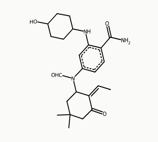 C/C=C1\C(=O)CC(C)(C)CC1N(C=O)c1ccc(C(N)=O)c(NC2CCC(O)CC2)c1